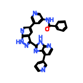 O=C(Nc1cncc(-c2cnc3[nH]nc(-c4nc5c(-c6cccnc6)ccnc5[nH]4)c3c2)c1)c1ccccc1